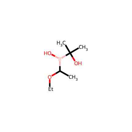 CCOC(C)B(O)C(C)(C)O